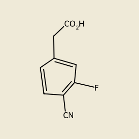 N#Cc1ccc(CC(=O)O)cc1F